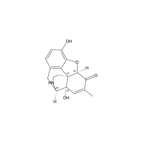 CC1=C[C@@]2(O)[C@H]3Cc4ccc(O)c5c4[C@@]2(CCN3)[C@@H](O5)C1=O